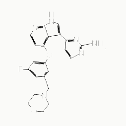 Nc1nccc(-c2c[nH]c3nccc(Oc4cc(F)cc(CN5CCOCC5)c4)c23)n1